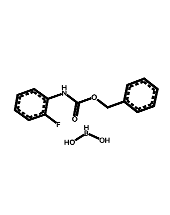 O=C(Nc1ccccc1F)OCc1ccccc1.OBO